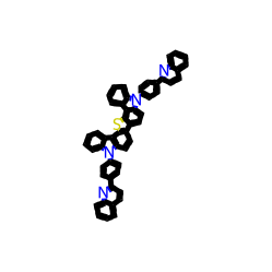 c1ccc2nc(-c3ccc(-n4c5ccccc5c5c6sc7c(ccc8c7c7ccccc7n8-c7ccc(-c8ccc9ccccc9n8)cc7)c6ccc54)cc3)ccc2c1